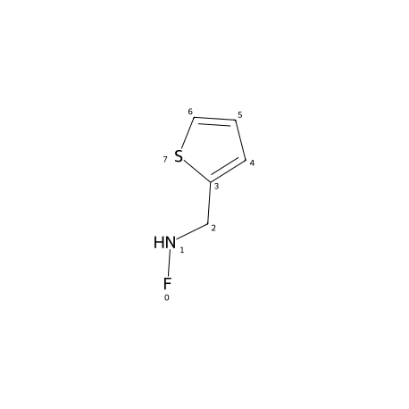 FNCc1cccs1